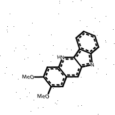 COc1cc2cc3nc4ccccc4c-3[nH]c2cc1OC